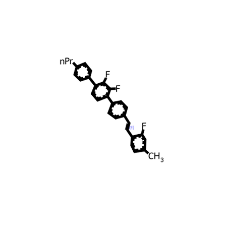 CCCc1ccc(-c2ccc(-c3ccc(/C=C/c4ccc(C)cc4F)cc3)c(F)c2F)cc1